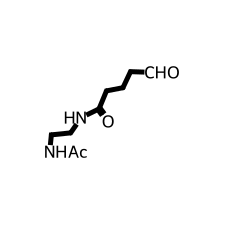 CC(=O)NCCNC(=O)CCCC=O